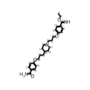 CCOC(=N)c1ccc(OCCCN2CCC(CCCOc3ccc(C(N)=O)cc3)CC2)cc1